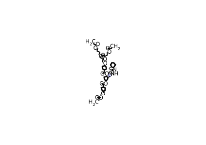 C=CC(=O)OCCCCOCC(COc1ccc(C(=O)Oc2ccc(OC(=O)c3ccc(OCOC(=O)C=C)cc3)cc2/C=N/Nc2nc3ccccc3s2)cc1)OC(=O)CCOC(=O)C=C